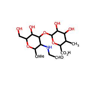 COC1OC(CO)C(O)C(OC2OC(C(=O)O)C(C)C(O)C2O)C1NCC=O